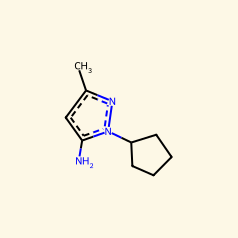 Cc1cc(N)n(C2CCCC2)n1